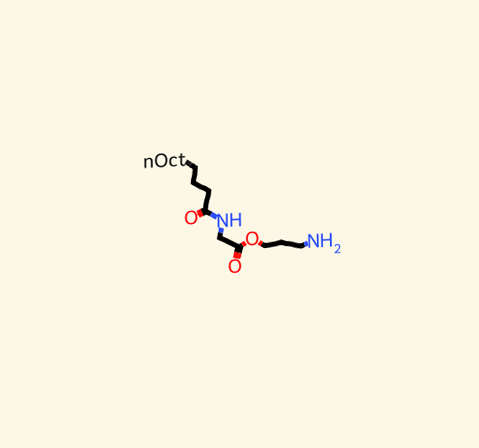 CCCCCCCCCCCC(=O)NCC(=O)OCCCN